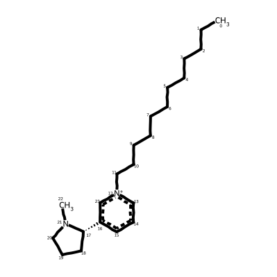 CCCCCCCCCCCC[n+]1cccc([C@@H]2CCCN2C)c1